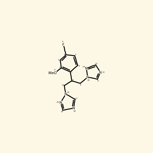 COc1cc(F)ccc1C(Cn1cncn1)Cn1cncn1